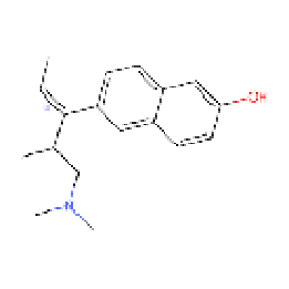 C/C=C(\c1ccc2cc(O)ccc2c1)C(C)CN(C)C